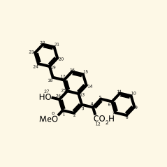 COc1cc(C(=Cc2ccccc2)C(=O)O)c2cccc(Cc3ccccc3)c2c1O